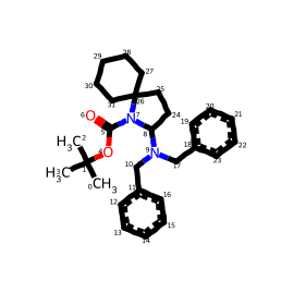 CC(C)(C)OC(=O)N1C(N(Cc2ccccc2)Cc2ccccc2)CCC12CCCCC2